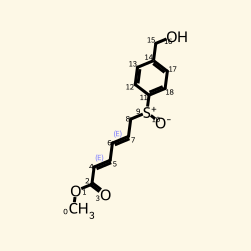 COC(=O)/C=C/C=C/C[S+]([O-])c1ccc(CO)cc1